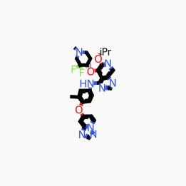 Cc1cc(Nc2ncnc3cnc(OC(C)C)c(O[C@H]4CCN(C)CC4(F)F)c23)ccc1Oc1ccn2ncnc2c1